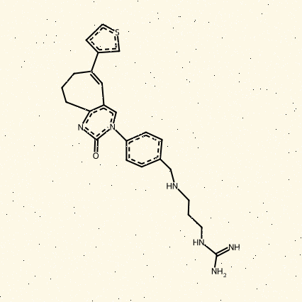 N=C(N)NCCCNCc1ccc(-n2cc3c(nc2=O)CCCC(c2ccsc2)=C3)cc1